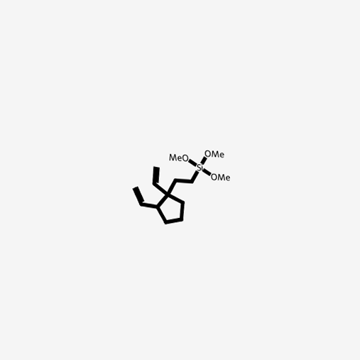 C=CC1CCCC1(C=C)CC[Si](OC)(OC)OC